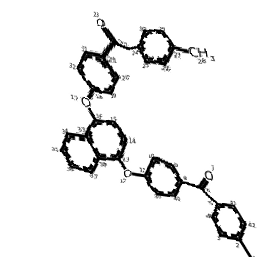 CCc1ccc(C(=O)c2ccc(Oc3ccc(Oc4ccc(C(=O)c5ccc(C)cc5)cc4)c4ccccc34)cc2)cc1